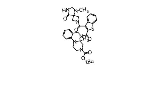 CN(Cc1ccccc1N1CCN(C(=O)OC(C)(C)C)CC1)C(=O)c1sc2ccccc2c1C(=O)N1CC2(C1)C(=O)NCN2C